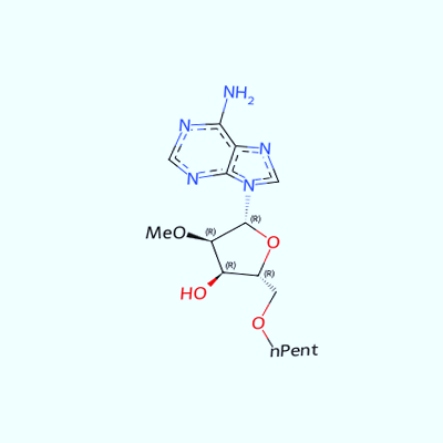 CCCCCOC[C@H]1O[C@@H](n2cnc3c(N)ncnc32)[C@H](OC)[C@@H]1O